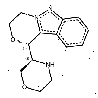 c1ccc2c3n(nc2c1)CCO[C@H]3[C@@H]1COCCN1